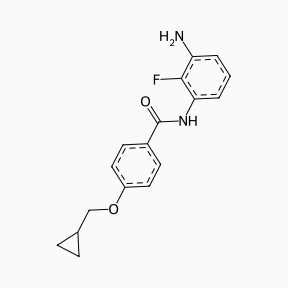 Nc1cccc(NC(=O)c2ccc(OCC3CC3)cc2)c1F